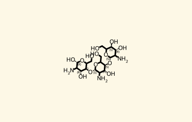 NC1[C@H](O[C@@H]2C(CO)O[C@@H](O[C@@H]3C(CO)O[C@@H](O)C(N)[C@H]3O)C(N)[C@H]2O)OC(CO)[C@@H](O)[C@@H]1O